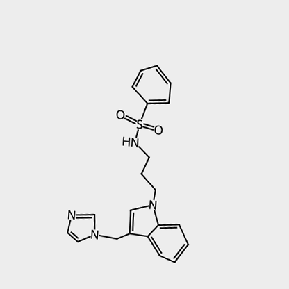 O=S(=O)(NCCCn1cc(Cn2ccnc2)c2ccccc21)c1ccccc1